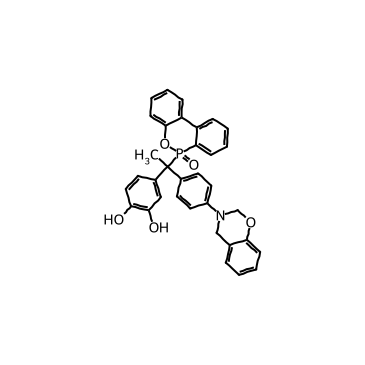 CC(c1ccc(N2COc3ccccc3C2)cc1)(c1ccc(O)c(O)c1)P1(=O)Oc2ccccc2-c2ccccc21